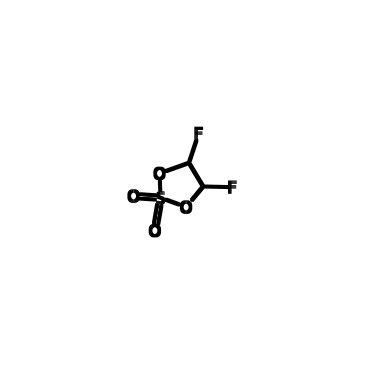 O=S1(=O)OC(F)C(F)O1